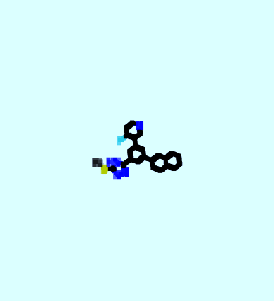 CCSc1nnc(-c2cc(-c3ccc4ccccc4c3)cc(-c3cnccc3F)c2)[nH]1